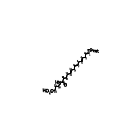 CCCCCC=CCC=CCC=CCC=CCCCC(=O)NCCCC(=O)O